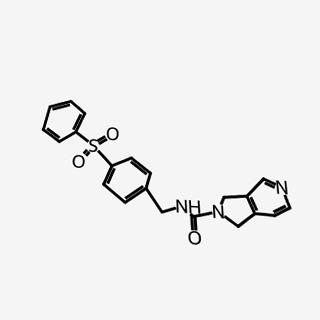 O=C(NCc1ccc(S(=O)(=O)c2ccccc2)cc1)N1Cc2ccncc2C1